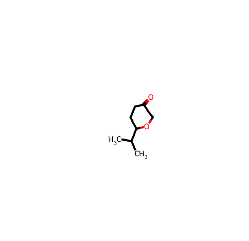 CC(C)C1CCC(=O)CO1